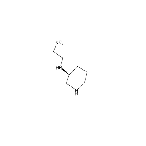 NCCN[C@H]1CCCNC1